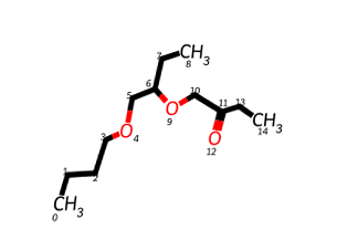 CCCCOCC(CC)OCC(=O)CC